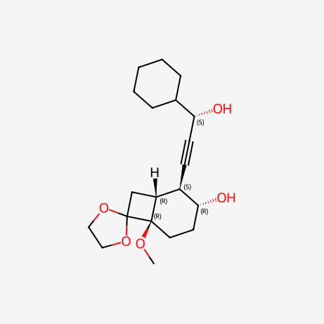 CO[C@]12CC[C@@H](O)[C@H](C#C[C@@H](O)C3CCCCC3)[C@H]1CC21OCCO1